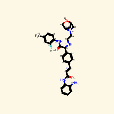 Nc1ccccc1NC(=O)/C=C/c1ccc(C(NCCN2CC3CC2CO3)C(=O)Nc2ccc(C(F)(F)F)cc2F)cc1